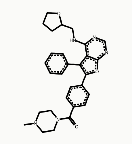 CN1CCN(C(=O)c2ccc(-c3oc4ncnc(NCC5CCCO5)c4c3-c3ccccc3)cc2)CC1